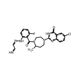 CC1CCN(c2nc3ccc(Cl)cc3c(=O)[nH]2)CCN1C(=O)c1c(F)cccc1N/N=C\C=N